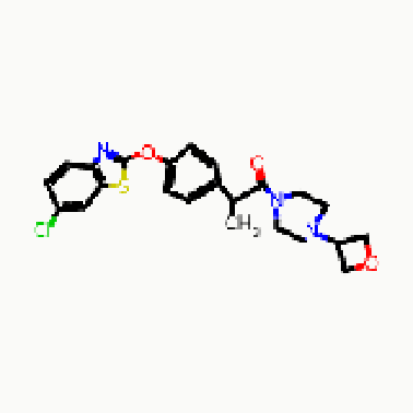 CC(C(=O)N1CCN(C2COC2)CC1)c1ccc(Oc2nc3ccc(Cl)cc3s2)cc1